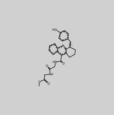 COC(=O)CNC(=O)CNC(=O)c1c2c(nc3ccccc13)/C(=C\c1ccc(O)cc1)CCC2